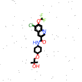 CC(C)(O)COC1CCC(NC(=O)c2cnc3cc(OC(F)F)c(Cl)cc3c2)CC1